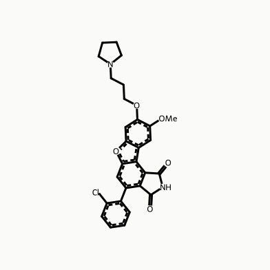 COc1cc2c(cc1OCCCN1CCCC1)oc1cc(-c3ccccc3Cl)c3c(c12)C(=O)NC3=O